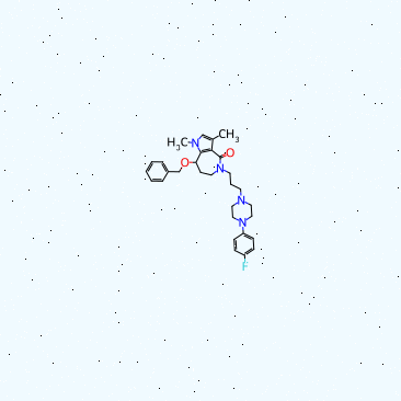 Cc1cn(C)c2c1C(=O)N(CCCN1CCN(c3ccc(F)cc3)CC1)CCC2OCc1ccccc1